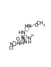 COCCN[C@H]1CC[C@H](NC2=NN3C(=NCC3C(=O)Nc3ccnc(Cl)c3)C(NC3CC3)=C2)CC1